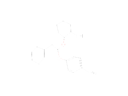 CCC(C)c1ccc(OC(CC2CCCCC2)OC2CCCCC2C)cc1